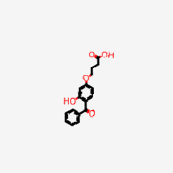 O=C(O)CCCOc1ccc(C(=O)c2ccccc2)c(O)c1